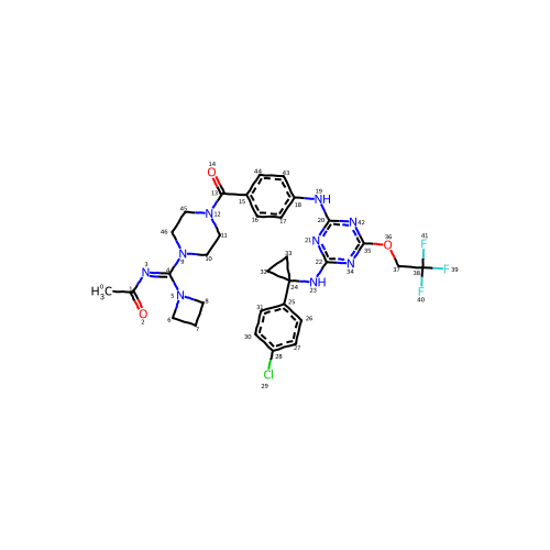 CC(=O)/N=C(\N1CCC1)N1CCN(C(=O)c2ccc(Nc3nc(NC4(c5ccc(Cl)cc5)CC4)nc(OCC(F)(F)F)n3)cc2)CC1